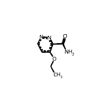 CCOc1ccnnc1C(N)=O